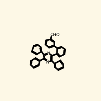 O=Cc1cccc(-c2ccccc2-c2nc(-c3ccccc3)c(-c3ccccc3)nc2-c2ccccc2)c1